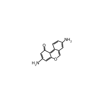 Nc1cc2occ3cc(N)ccc3c-2c(=O)c1